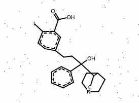 O=C(O)c1cc(CCC(O)(c2ccccc2)C2CN3CCC2CC3)ccc1I